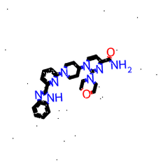 NC(=O)C1=NC(N2CCOCC2)N(C2CCN(c3cccc(-c4nc5ccccc5[nH]4)n3)CC2)C=C1